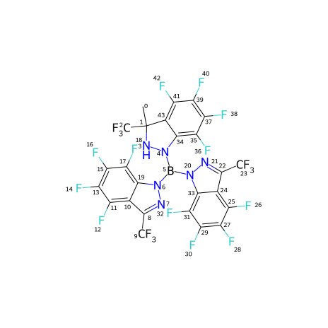 CC1(C(F)(F)F)NN(B(n2nc(C(F)(F)F)c3c(F)c(F)c(F)c(F)c32)n2nc(C(F)(F)F)c3c(F)c(F)c(F)c(F)c32)c2c(F)c(F)c(F)c(F)c21